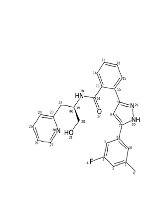 Cc1cc(F)cc(-c2cc(-c3ccccc3C(=O)N[C@@H](CO)Cc3ccccn3)n[nH]2)c1